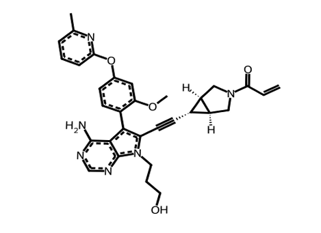 C=CC(=O)N1C[C@@H]2[C@@H](C#Cc3c(-c4ccc(Oc5cccc(C)n5)cc4OC)c4c(N)ncnc4n3CCCO)[C@@H]2C1